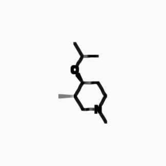 CC(C)O[C@H]1CCN(C)C[C@@H]1C